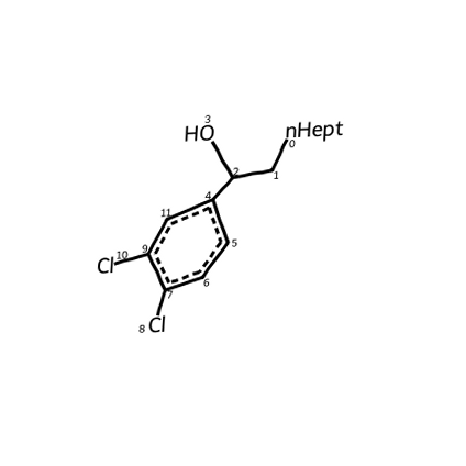 CCCCCCCCC(O)c1ccc(Cl)c(Cl)c1